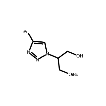 CC(C)COCC(CO)n1cc(C(C)C)nn1